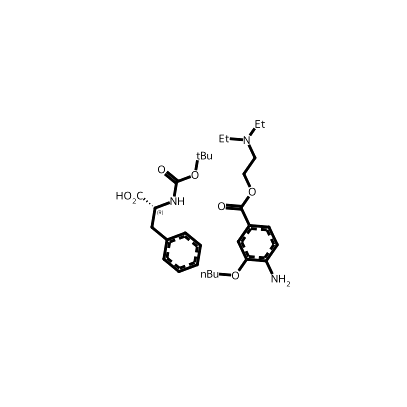 CC(C)(C)OC(=O)N[C@H](Cc1ccccc1)C(=O)O.CCCCOc1cc(C(=O)OCCN(CC)CC)ccc1N